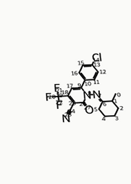 CC1CCCCC1=Nn1c(-c2ccc(Cl)cc2)cc(C(F)(F)F)c(C#N)c1=O